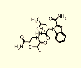 CC(C)C[C@@H](C(=O)NN(CCC(N)=O)C(=O)[C@@H](F)Cl)n1c(C(N)=O)cc2ccccc21